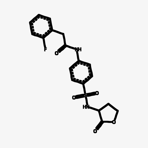 O=C(Cc1ccccc1F)Nc1ccc(S(=O)(=O)NC2CCOC2=O)cc1